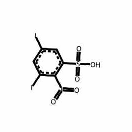 O=I(=O)c1c(I)cc(I)cc1S(=O)(=O)O